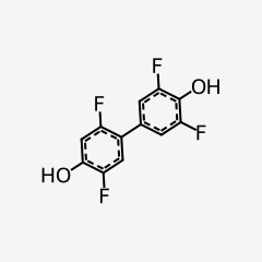 Oc1cc(F)c(-c2cc(F)c(O)c(F)c2)cc1F